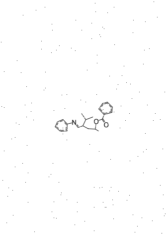 CC(CC(C=Nc1ccccc1)C(C)C)OC(=O)c1ccccc1